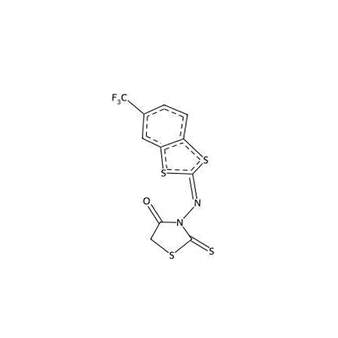 O=C1CSC(=S)N1N=c1sc2ccc(C(F)(F)F)cc2s1